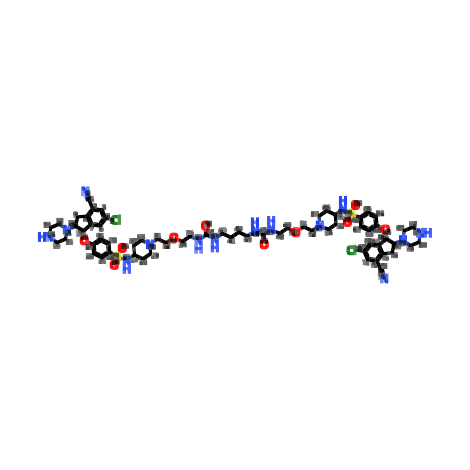 N#Cc1cc(Cl)cc2c1C[C@H](N1CCNCC1)[C@H]2Oc1ccc(S(=O)(=O)NC2CCN(CCOCCNC(=O)NCCCCNC(=O)NCCOCCN3CCC(NS(=O)(=O)c4ccc(O[C@H]5c6cc(Cl)cc(C#N)c6C[C@@H]5N5CCNCC5)cc4)CC3)CC2)cc1